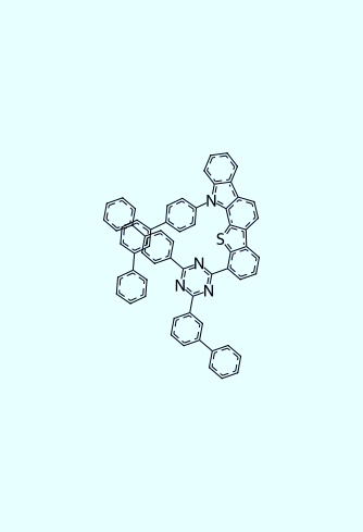 c1ccc(-c2ccc(-c3nc(-c4cccc(-c5ccccc5)c4)nc(-c4cccc5c4sc4c5ccc5c6ccccc6n(-c6ccc(-c7cccc(-c8ccccc8)c7)cc6)c54)n3)cc2)cc1